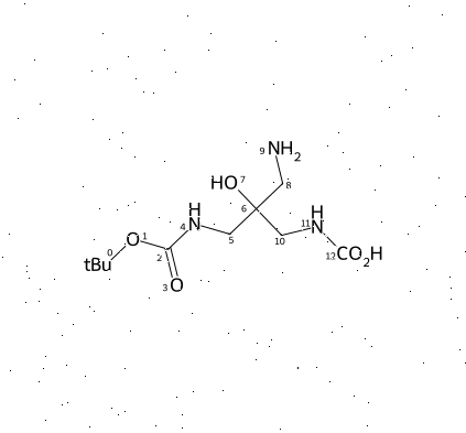 CC(C)(C)OC(=O)NCC(O)(CN)CNC(=O)O